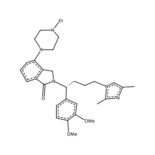 CCN1CCN(c2cccc3c2CN([C@H](CCCn2cc(C)nc2C)c2ccc(OC)c(OC)c2)C3=O)CC1